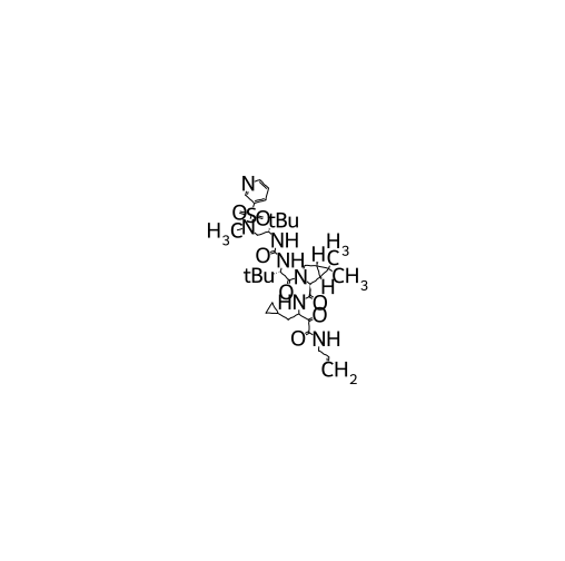 C=CCNC(=O)C(=O)C(CC1CC1)NC(=O)[C@@H]1[C@@H]2[C@H](CN1C(=O)[C@@H](NC(=O)N[C@H](CN(C)S(=O)(=O)c1cccnc1)C(C)(C)C)C(C)(C)C)C2(C)C